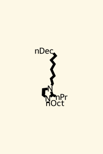 CCCCCCCCCCCCCCCCCN1C=CN(CCCCCCCC)C1CCC